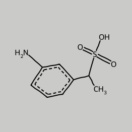 CC(c1cccc(N)c1)S(=O)(=O)O